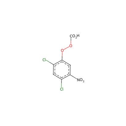 O=C(O)OOc1cc([N+](=O)[O-])c(Cl)cc1Cl